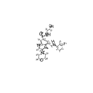 Cc1c(F)cccc1NCc1cc(C(=O)NCCO)cc2ncc(N3CCOCC3)nc12